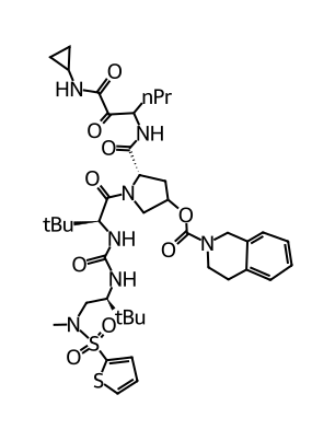 CCCC(NC(=O)[C@@H]1CC(OC(=O)N2CCc3ccccc3C2)CN1C(=O)[C@@H](NC(=O)N[C@H](CN(C)S(=O)(=O)c1cccs1)C(C)(C)C)C(C)(C)C)C(=O)C(=O)NC1CC1